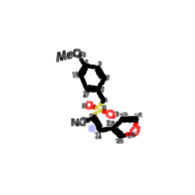 COc1ccc(CS(=O)(=O)/C(C#N)=C\c2ccoc2)cc1